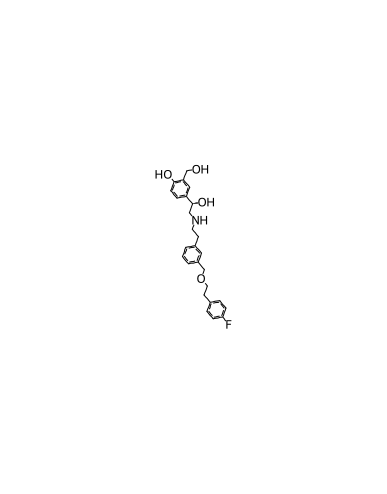 OCc1cc([C@@H](O)CNCCc2cccc(COCCc3ccc(F)cc3)c2)ccc1O